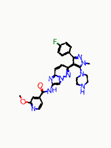 COc1cc(C(=O)Nc2cn3nc(-c4c(-c5ccc(F)cc5)nn(C)c4N4CCNCC4)ccc3n2)ccn1